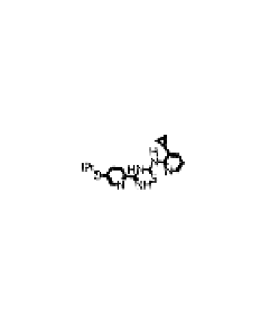 CC(C)Oc1ccc(C(=N)NC(=S)Nc2ncccc2C2CC2)nc1